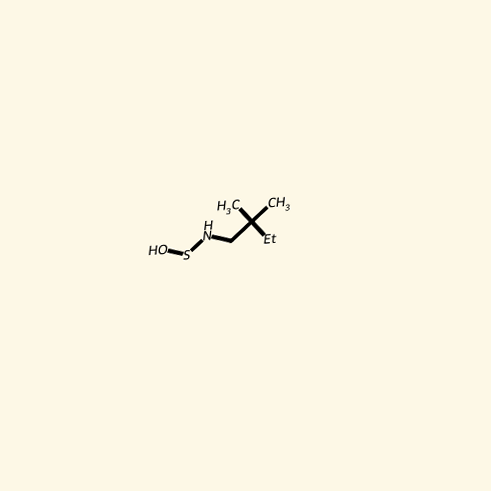 CCC(C)(C)CNSO